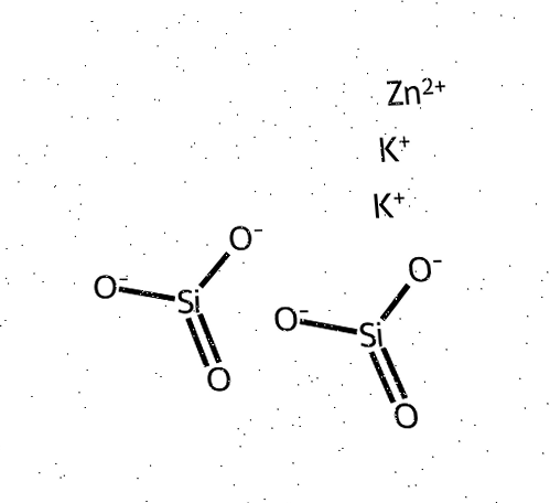 O=[Si]([O-])[O-].O=[Si]([O-])[O-].[K+].[K+].[Zn+2]